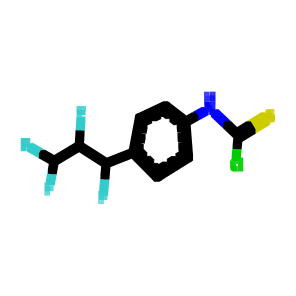 FC(F)C(F)C(F)c1ccc(NC(=S)Cl)cc1